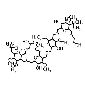 CCCOCC1OC(COCC2C(COC)OC(COCC3C(COC)OC(COCC4C(COCC(C)O)OC(CC(C)(C)C)C(OC)C4OC)C(O)C3OC)C(O)C2OC)C(O)C(OC)C1C(C)(C)C